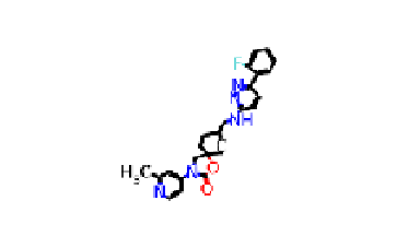 Cc1cc(N2CC3(CCC(CNc4ccc(-c5ccccc5F)nn4)CC3)OC2=O)ccn1